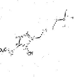 C[Si](C)(C)CCOCn1cnc(NC(=O)O)c1C#N